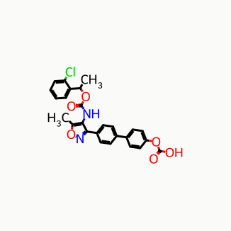 Cc1onc(-c2ccc(-c3ccc(OC(=O)O)cc3)cc2)c1NC(=O)OC(C)c1ccccc1Cl